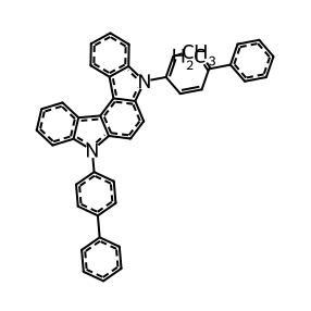 C=C(/C=C\C(=C/C)n1c2ccccc2c2c3c4ccccc4n(-c4ccc(-c5ccccc5)cc4)c3ccc21)c1ccccc1